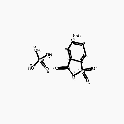 O=C1NS(=O)(=O)c2ccccc21.O=P(O)(O)O.[NaH]